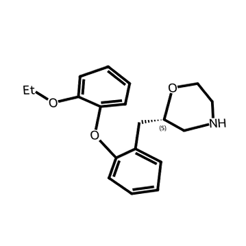 CCOc1ccccc1Oc1ccccc1C[C@H]1CNCCO1